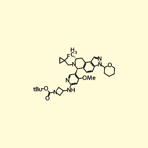 COc1cc(NC2CN(C(=O)OC(C)(C)C)C2)ncc1[C@@H]1c2ccc3c(cnn3C3CCCCO3)c2C[C@@H](C)N1CC1(F)CC1